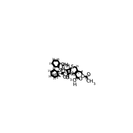 CC(=O)OCC1=C(C(=O)O)N2C(=O)[C@H](N(O)[Si](c3ccccc3)(c3ccccc3)C(C)(C)C)[C@H]2SC1